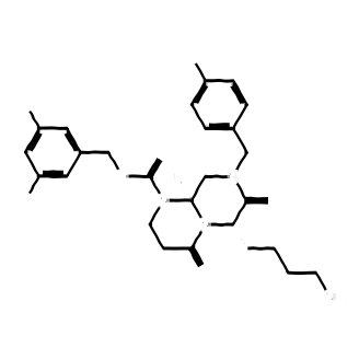 NCCCC[C@H]1C(=O)N(Cc2ccc(F)cc2)C[C@@H]2N(C(=O)OCc3cc(C(F)(F)F)cc(C(F)(F)F)c3)CCC(=O)N21